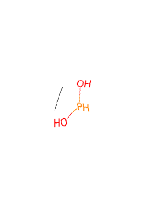 CC.OPO